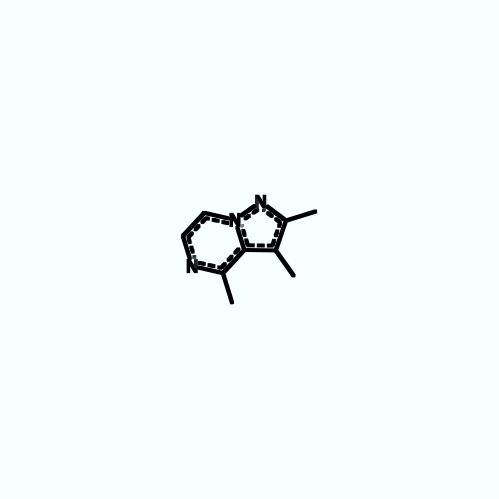 Cc1nn2ccnc(C)c2c1C